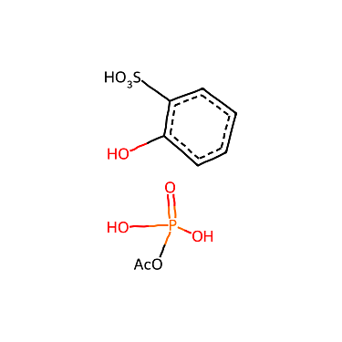 CC(=O)OP(=O)(O)O.O=S(=O)(O)c1ccccc1O